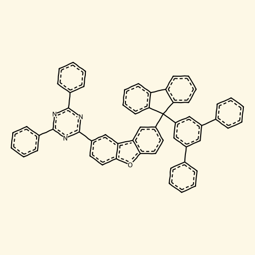 c1ccc(-c2cc(-c3ccccc3)cc(C3(c4ccc5oc6ccc(-c7nc(-c8ccccc8)nc(-c8ccccc8)n7)cc6c5c4)c4ccccc4-c4ccccc43)c2)cc1